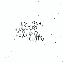 NNC(=O)CCc1c(C2C=CNC2)cc2c(C(N)=O)oc(-c3ccc4c(c3)CC(=C=O)N4)c2c1C1C=CNC1.O=C(O)CCCC(=O)O